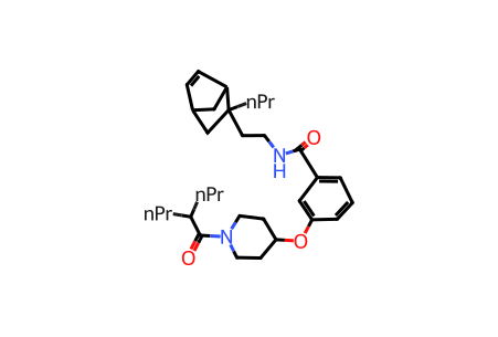 CCCC(CCC)C(=O)N1CCC(Oc2cccc(C(=O)NCCC3(CCC)CC4C=CC3C4)c2)CC1